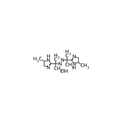 CC1CN=C(C(C)(C)/N=N/C(C)(C)C2=NCC(C)N2)N1.Cl